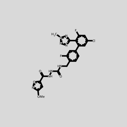 COc1cc(C(=O)NNC(=O)NCc2ccc(-c3cc(Cl)cc(F)c3-c3nnn(C)n3)cc2F)on1